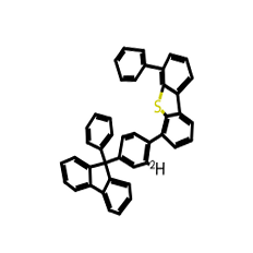 [2H]c1cc(C2(c3ccccc3)c3ccccc3-c3ccccc32)ccc1-c1cccc2c1sc1c(-c3ccccc3)cccc12